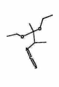 CCOC(C)(OCC)C(C)N=C=S